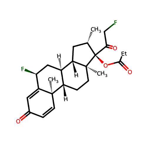 CCC(=O)O[C@]1(C(=O)CF)[C@@H](C)C[C@H]2[C@@H]3C[C@H](F)C4=CC(=O)C=C[C@]4(C)[C@H]3CC[C@@]21C